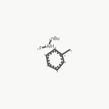 CCC[CH2][AlH][F].Cc1cc[c]cc1